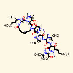 COC(=O)[C@@H](NC(=O)[C@@H](NC(=O)C(NC(=O)[C@@H](NC(=O)[C@H](C(=O)[C@H](C)N)N1C/C=C/CCC(=O)N[C@@H](N[C@@H](C=O)CCC(=O)O)C(=O)N[C@@H](C(=O)[C@H](C)N)C1=O)N[C@@H](C)C=O)N[C@@H](C)C=O)C(=O)[C@@H](N)CCC(=O)O)N[C@@H](C)C=O